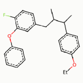 CCOc1ccc([C](C)C(C)Cc2ccc(F)c(Oc3ccccc3)c2)cc1